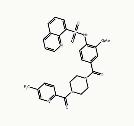 COc1cc(C(=O)N2CCN(C(=O)c3ccc(C(F)(F)F)cn3)CC2)ccc1NS(=O)(=O)c1cccc2cccnc12